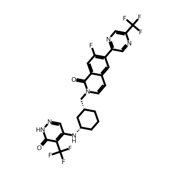 O=c1[nH]ncc(N[C@H]2CCC[C@@H](Cn3ccc4cc(-c5cnc(C(F)(F)F)cn5)c(F)cc4c3=O)C2)c1C(F)(F)F